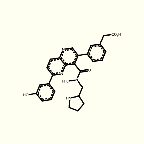 CN(CC1CCCN1)C(=O)c1c(-c2cccc(CC(=O)O)c2)cnc2ccc(-c3cccc(O)c3)nc12